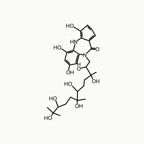 CC(C)(O)C(O)CCC(C)(O)C(O)CCC(C)(O)C(O)CN1C(=O)c2cccc(O)c2Nc2c(O)cc(O)cc21